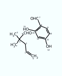 C=CCC(C)(C)C=O.O=Cc1ccc(O)cc1O